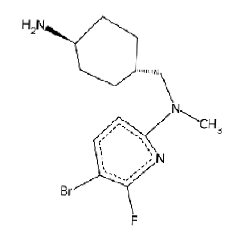 CN(C[C@H]1CC[C@H](N)CC1)c1ccc(Br)c(F)n1